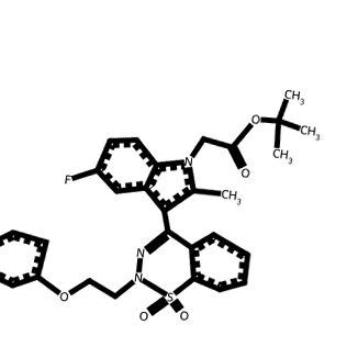 Cc1c(C2=NN(CCOc3ccccc3)S(=O)(=O)c3ccccc32)c2cc(F)ccc2n1CC(=O)OC(C)(C)C